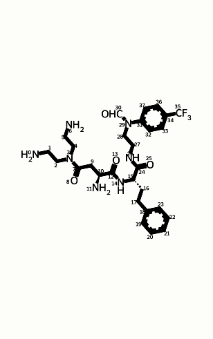 NCCN(CCN)C(=O)C[C@H](N)C(=O)N[C@@H](CCc1ccccc1)C(=O)NCCN(C=O)c1ccc(C(F)(F)F)cc1